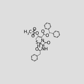 CS(=O)(=O)OC1=C(C(=O)OC(c2ccccc2)c2ccccc2)N2C(=O)[C@@H](NC(=O)Cc3ccccc3)[C@@H]2SC1